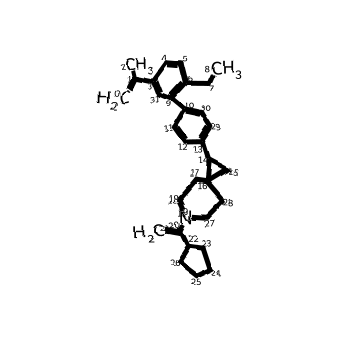 C=C(C)c1ccc(CC)c(-c2ccc(C3CC34CCN(C(=C)C3CCCC3)CC4)cc2)c1